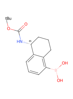 CC(C)(C)OC(=O)N[C@@H]1CCCc2c(B(O)O)cccc21